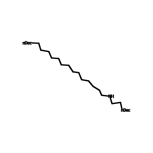 CCCCCCCCCCCCCCCCCCCCCCCCNCCCCCCCCCCCC